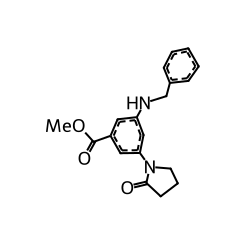 COC(=O)c1cc(NCc2ccccc2)cc(N2CCCC2=O)c1